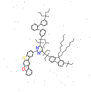 CCCCCCCCC1(CCCCCCCC)c2cc(C(C)(C)CC)ccc2-c2ccc(C(C)(CC)C(C)(CC)c3cc(C(C)(CC)C(C)(CC(C)CC)c4cccc(-c5ccccc5-c5cccc(C(C)(CCC)CCC)c5)c4)nc(-c4ccc5sc6cc7oc8ccccc8c7cc6c5c4)n3)cc21